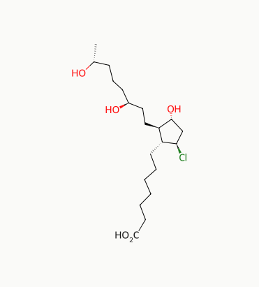 C[C@@H](O)CCC[C@H](O)CC[C@@H]1[C@@H](CCCCCCC(=O)O)[C@H](Cl)C[C@H]1O